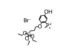 CCO[Si](CCCOc1ccc(O)cc1[P+](C)(C)C)(OCC)OCC.[Br-]